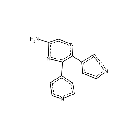 Nc1cnc(-c2ccncc2)c(-c2ccncc2)n1